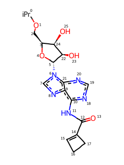 CC(C)OC[C@@H]1O[C@@H](n2cnc3c(NC(=O)C4=CCC4)ncnc32)[C@H](O)[C@@H]1O